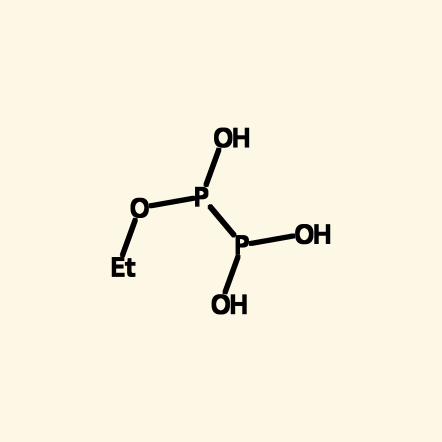 CCOP(O)P(O)O